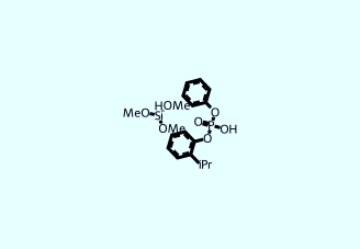 CC(C)c1ccccc1OP(=O)(O)Oc1ccccc1.CO[SiH](OC)OC